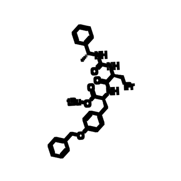 CC(C)C[C@H](NC(=O)N[C@H](C)c1ccccc1)C(=O)N[C@@H](Cc1ccc(OCc2ccccc2)cc1)C(=O)OC(C)(C)C